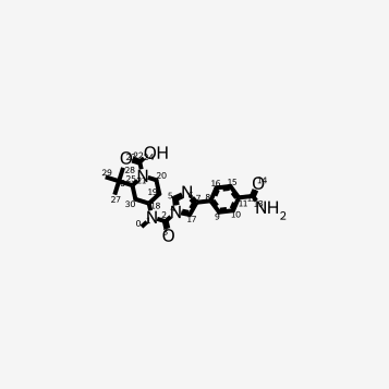 CN(C(=O)n1cnc(-c2ccc(C(N)=O)cc2)c1)C1CCN(C(=O)O)C(C(C)(C)C)C1